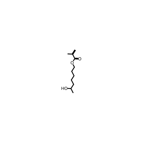 C=C(C)C(=O)OCCCCCC(C)O